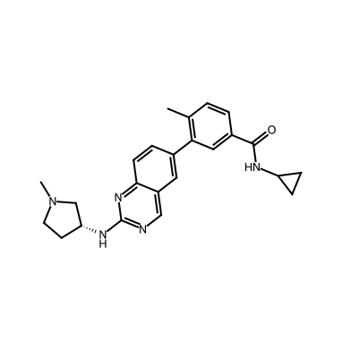 Cc1ccc(C(=O)NC2CC2)cc1-c1ccc2nc(N[C@@H]3CCN(C)C3)ncc2c1